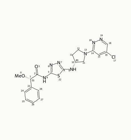 CO[C@H](C(=O)Nc1nnc(N[C@@H]2CCN(c3cc(Cl)cnn3)C2)s1)c1ccccc1